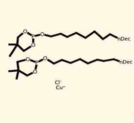 CCCCCCCCCCCCCCCCCCOP1OCC(C)(C)CO1.CCCCCCCCCCCCCCCCCCOP1OCC(C)(C)CO1.[Cl-].[Cu+]